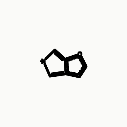 C1=c2ccoc2=C[N]1